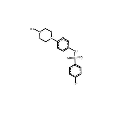 CCCN1CCN(c2ccc(NS(=O)(=O)c3ccc(CC)cc3)cn2)CC1